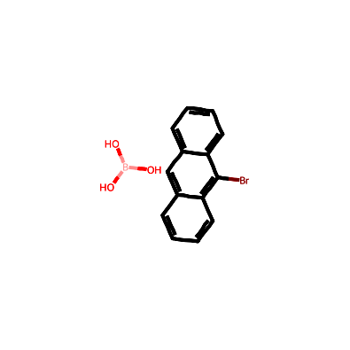 Brc1c2ccccc2cc2ccccc12.OB(O)O